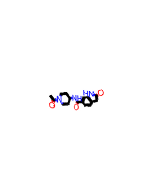 CC(=O)N1CCC(NC(=O)c2ccc3c(c2)NC(=O)C3)CC1